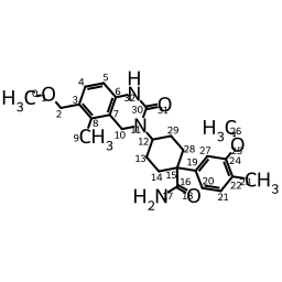 COCc1ccc2c(c1C)CN(C1CCC(C(N)=O)(c3ccc(C)c(OC)c3)CC1)C(=O)N2